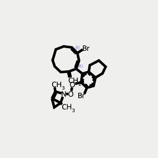 C=C1CCCCC/C=C(Br)\C=C/1c1c2c(cc(Br)c1OON1C(C)=C3CC31C)CCCC2